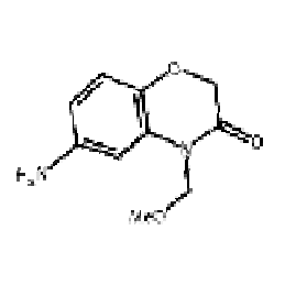 COCN1C(=O)COc2ccc(N)cc21